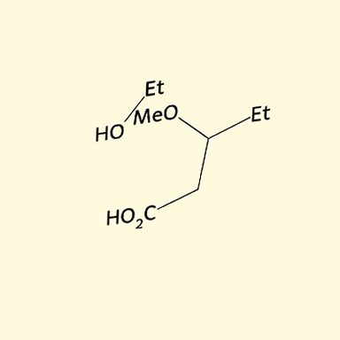 CCC(CC(=O)O)OC.CCO